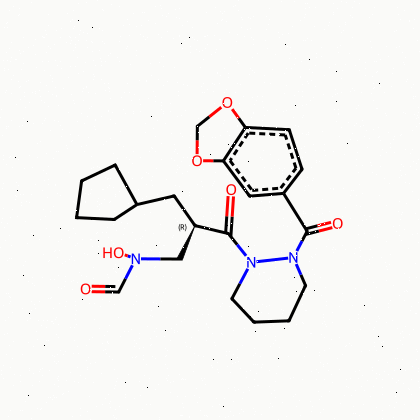 O=CN(O)C[C@@H](CC1CCCC1)C(=O)N1CCCCN1C(=O)c1ccc2c(c1)OCO2